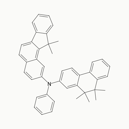 CC1(C)c2ccccc2-c2ccc3ccc(N(c4ccccc4)c4ccc5c(c4)C(C)(C)C(C)(C)c4ccccc4-5)cc3c21